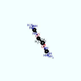 CC(C)(c1ccc(OC(=O)NCc2ccc(NC(=N)N)cc2)cc1)c1ccc(OC(=O)NCc2ccc(NC(=N)N)cc2)cc1